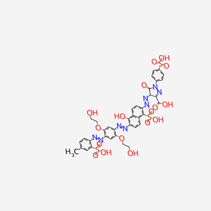 Cc1ccc(N=Nc2cc(OCCO)c(N=Nc3ccc4c(S(=O)(=O)O)c(/N=N/C5C(=O)N(c6ccc(S(=O)(=O)O)cc6)N=C5C(=O)O)ccc4c3O)cc2OCCO)c(S(=O)(=O)O)c1